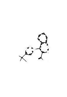 O=C(O)c1nnc2ccccc2c1-n1cc(C(F)(F)F)nn1